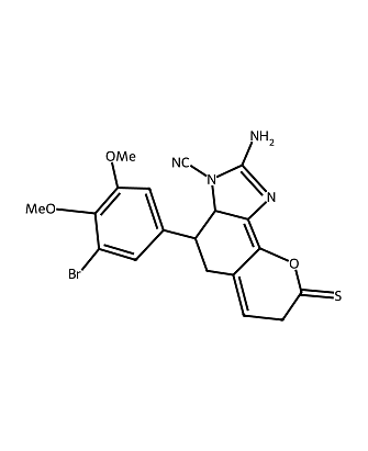 COc1cc(C2CC3=CCC(=S)OC3=C3N=C(N)N(C#N)C32)cc(Br)c1OC